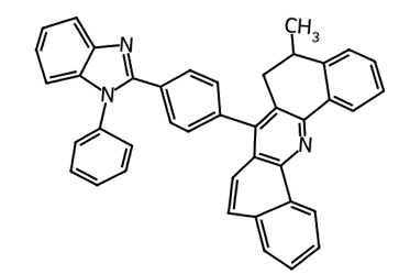 CC1Cc2c(nc3c(ccc4ccccc43)c2-c2ccc(-c3nc4ccccc4n3-c3ccccc3)cc2)-c2ccccc21